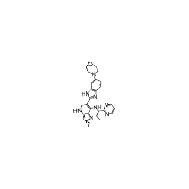 CC[C@@H](NC1=C(c2nc3ccc(N4CCOCC4)cc3[nH]2)CNc2cn(C)nc21)c1ncccn1